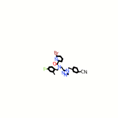 Cc1cc(F)ccc1CN(Cc1nncn1Cc1ccc(C#N)cc1)C(=O)c1cccc(Br)n1